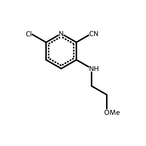 COCCNc1ccc(Cl)nc1C#N